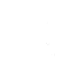 CC(C)(C)C(S)CNC(=O)O